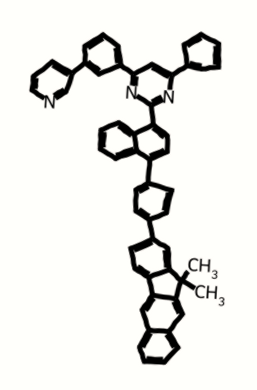 CC1(C)c2cc(-c3ccc(-c4ccc(-c5nc(-c6ccccc6)cc(-c6cccc(-c7cccnc7)c6)n5)c5ccccc45)cc3)ccc2-c2cc3ccccc3cc21